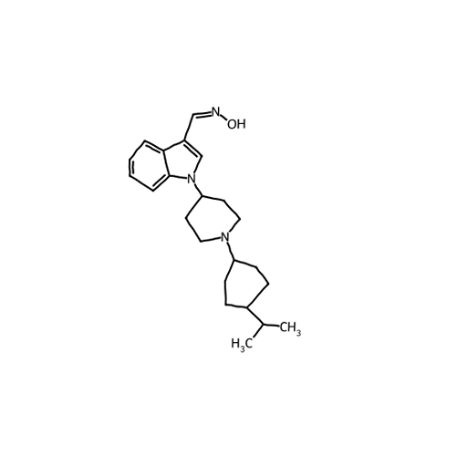 CC(C)C1CCC(N2CCC(n3cc(/C=N\O)c4ccccc43)CC2)CC1